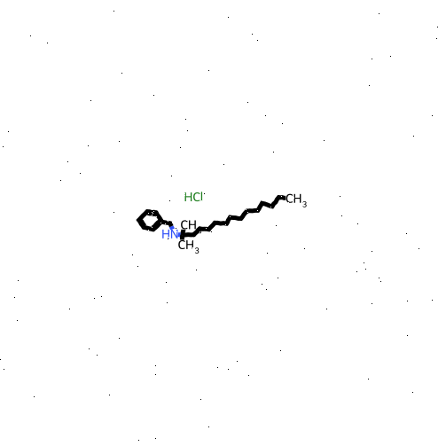 CCCCCCCCCCCCCC(C)(C)NCc1ccccc1.Cl